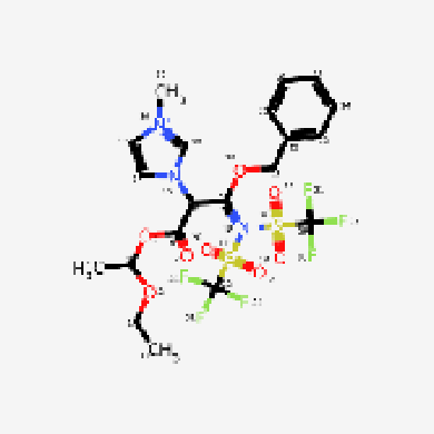 CCO[C@@H](C)OC(=O)C(C(OCc1ccccc1)=[N+](S(=O)(=O)C(F)(F)F)S(=O)(=O)C(F)(F)F)n1cc[n+](C)c1